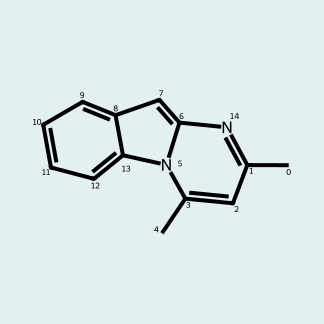 Cc1cc(C)n2c(cc3ccccc32)n1